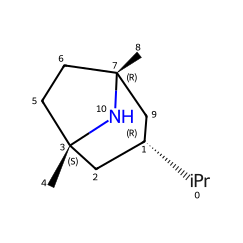 CC(C)[C@@H]1C[C@]2(C)CC[C@](C)(C1)N2